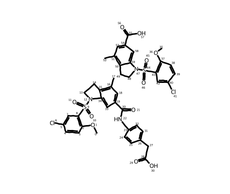 COc1ccc(Cl)cc1S(=O)(=O)N1CCc2c(C)cc(C(=O)Nc3ccc(CC(=O)O)cc3)cc21.COc1ccc(Cl)cc1S(=O)(=O)N1CCc2c(C)cc(C(=O)O)cc21